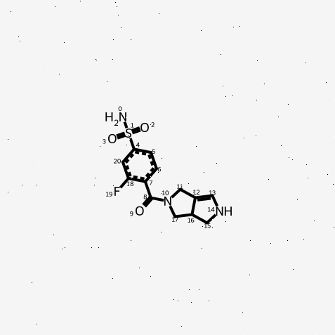 NS(=O)(=O)c1ccc(C(=O)N2CC3=CNCC3C2)c(F)c1